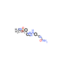 CC(C)(C)NS(=O)(=O)c1cccc(-c2ccc3cnc(Nc4ccc(C5CN(CC(N)=O)C5)cc4)nn23)c1